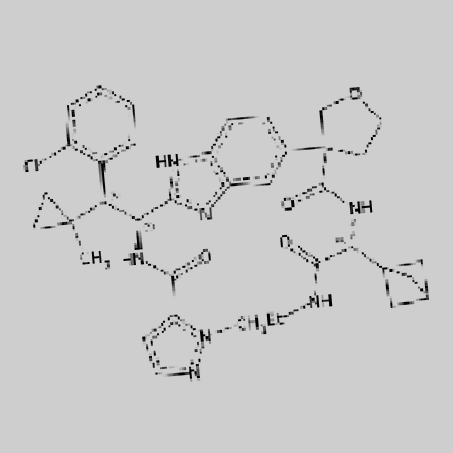 CCNC(=O)[C@H](NC(=O)C1(c2ccc3[nH]c([C@@H](NC(=O)c4ccnn4C)[C@H](c4ccccc4Cl)C4(C)CC4)nc3c2)CCOC1)C12CC(C1)C2